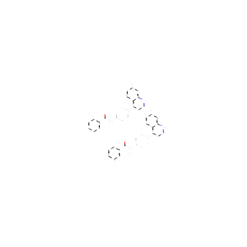 O=C(NC1CCN(c2ccnc3cc(Cl)ccc23)CC1)c1cc(F)cc(F)c1.O=C(NC1CCN(c2ccnc3cc(Cl)ccc23)CC1)c1ccc(F)c(F)c1